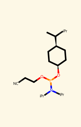 CC(C)C(C)[C@H]1CC[C@@H](OP(OCCC#N)N(C(C)C)C(C)C)CC1